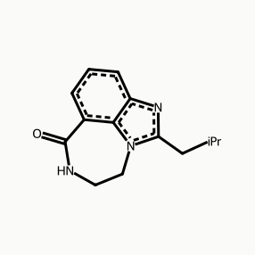 CC(C)Cc1nc2cccc3c2n1CCNC3=O